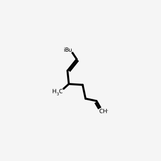 [CH]=CCCC(C)C=CC(C)CC